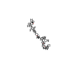 N#Cc1cnn2cc(-c3cnn([C@H]4CC[C@@H](N5CCN(c6c(F)cc(NC7CCC(=O)NC7=O)cc6F)CC5)CC4)c3)nc(-c3ccc(N4CCC5(CC4)CCN5c4nccc(Cl)n4)nc3)c12